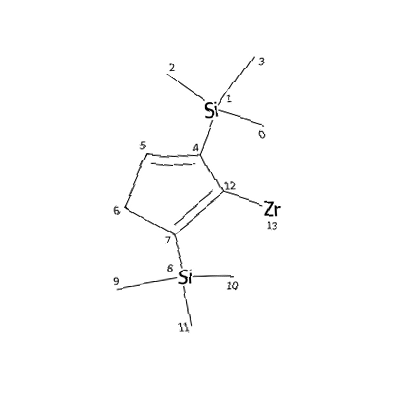 C[Si](C)(C)C1=CCC([Si](C)(C)C)=[C]1[Zr]